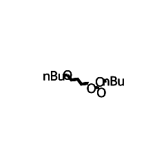 CCCCOCCCCOC(=O)OCCCC